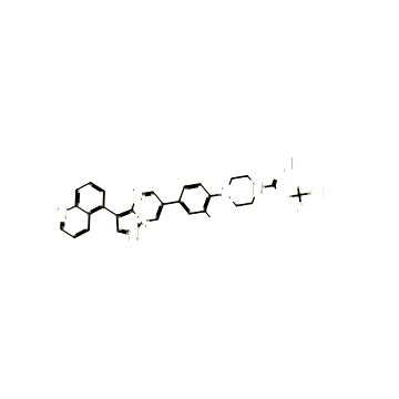 CC(C)(C)OC(=O)N1CCN(c2ccc(-c3cnc4c(-c5cccc6ncccc56)cnn4c3)cc2F)CC1